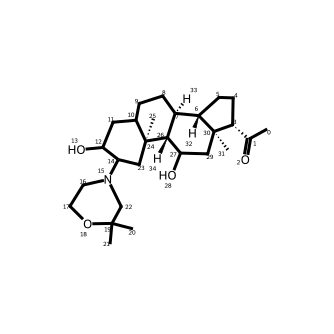 CC(=O)[C@H]1CC[C@H]2[C@@H]3CCC4CC(O)C(N5CCOC(C)(C)C5)C[C@]4(C)[C@H]3C(O)C[C@]12C